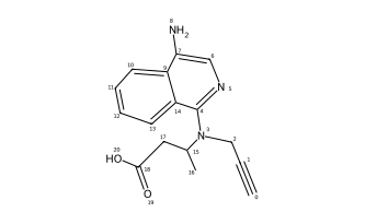 C#CCN(c1ncc(N)c2ccccc12)C(C)CC(=O)O